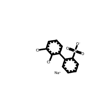 O=S(=O)([O-])c1ccccc1-c1cccc(Cl)c1Cl.[Na+]